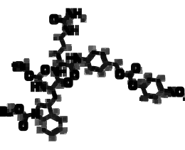 CC(C)(C)OC(=O)N[C@H](Cc1cn(C(=O)OC(C)(C)C)c2ccccc12)C(=O)N[C@@H](CCCNC(N)=O)C(=O)Nc1ccc(COC(=O)Oc2ccc([N+](=O)[O-])cc2)cc1